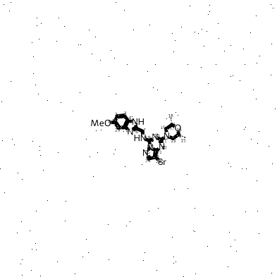 COc1ccc2[nH]c(CNc3nc(N4C[C@@H](C)O[C@@H](C)C4)nc4c(Br)cnn34)nc2c1